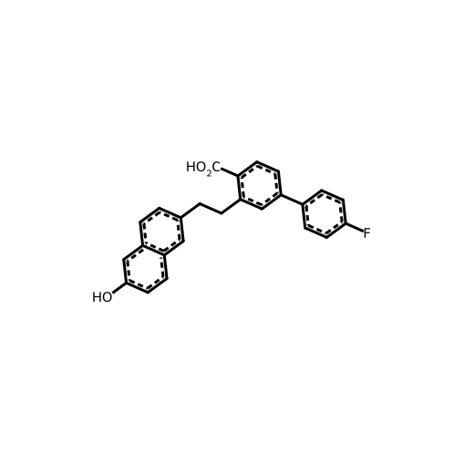 O=C(O)c1ccc(-c2ccc(F)cc2)cc1CCc1ccc2cc(O)ccc2c1